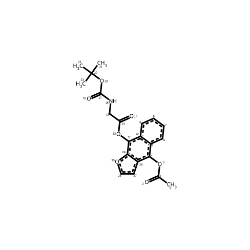 CC(=O)Oc1c2ccccc2c(OC(=O)CNC(=O)OC(C)(C)C)c2occc12